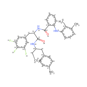 Cc1cccc(Nc2ccccc2C(=O)NC(Cc2cc(F)c(F)c(F)c2)C(=O)NC(CC(=O)O)Cc2ccc([N+](=O)[O-])cc2)c1C